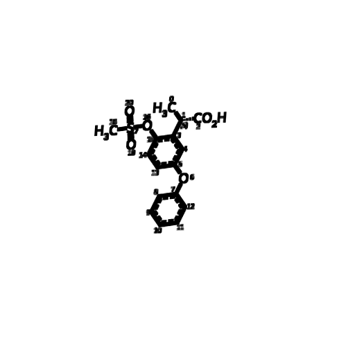 C[C@H](C(=O)O)c1cc(Oc2ccccc2)ccc1OS(C)(=O)=O